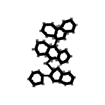 c1ccc(-c2cc3ccccc3cc2Sc2c3ccccc3c(-c3cc4ccccc4c4ccccc34)c3cnccc23)cc1